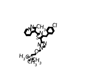 Cc1nn2ccccc2c1-c1nc(Cc2ccc(Cl)cc2)c(-c2ncn(COCC[Si](C)(C)C)n2)s1